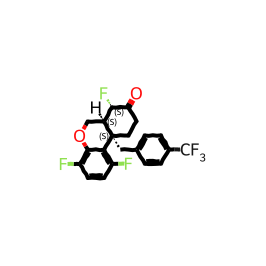 O=C1CC[C@@]2(Cc3ccc(C(F)(F)F)cc3)c3c(F)ccc(F)c3OC[C@H]2[C@@H]1F